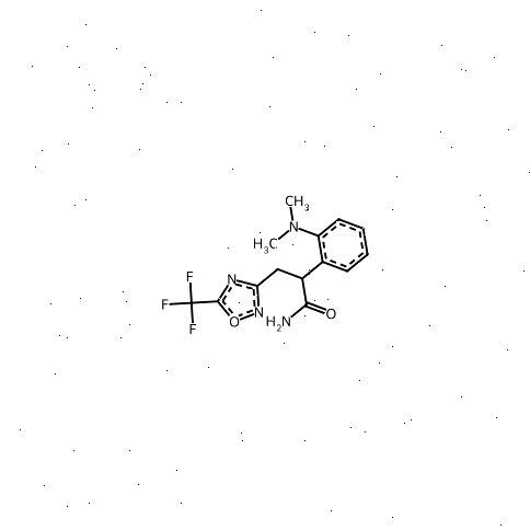 CN(C)c1ccccc1C(Cc1noc(C(F)(F)F)n1)C(N)=O